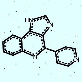 c1ccc2c(c1)nc(-c1ccncc1)c1nc[nH]c12